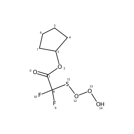 O=C(OC1CCCC1)C(F)(F)SOOO